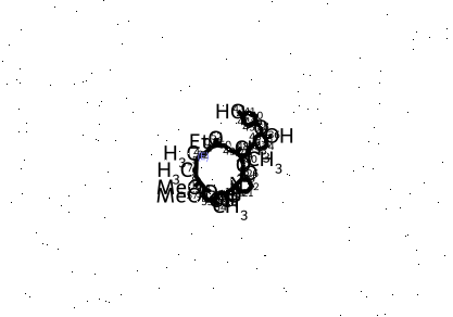 CCC1/C=C(\C)CC(C)CC(OC)C2OC(O)(C(=O)C(=O)N3CCCCC3C(=O)OC(C(C)=CC3CCC(O)C(Oc4ccc(O)cc4)C3)C(C)CCC1=O)C(C)CC2OC